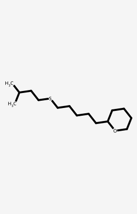 CC(C)CCSCCCCCC1CCCCO1